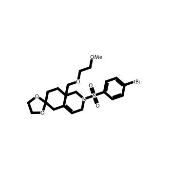 COCCOCC12CCC3(CC1=CCN(S(=O)(=O)c1ccc(C(C)(C)C)cc1)C2)OCCO3